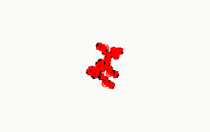 c1ccc(-c2c3ccccc3c(-c3cc(-c4ccc5c(c4)oc4cc6ccccc6cc45)c4ccc(-c5ccc6c(-c7ccc8c(c7)oc7cc9ccccc9cc78)c7ccc(-c8ccc9c(-c%10cccc%11ccccc%10%11)c%10ccccc%10c(-c%10ccc(-c%11ccc%12c(c%11)oc%11cc%13ccccc%13cc%11%12)cc%10)c9c8)cc7c(-c7cccc8ccccc78)c6c5)cc4c3)c3ccccc23)cc1